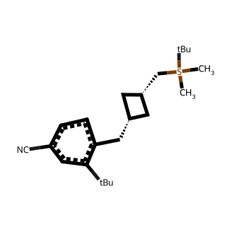 CC(C)(C)c1cc(C#N)ccc1C[C@H]1C[C@@H](CS(C)(C)C(C)(C)C)C1